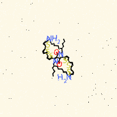 CCCCCCC(CCCC)CN1C(=O)C2=C(c3ccc(-c4ccc(-c5ccc(N)s5)s4)s3)N(CC(CCCC)CCCCCC)C(=O)C2=C1c1ccc(-c2ccc(-c3ccc(N)s3)s2)s1